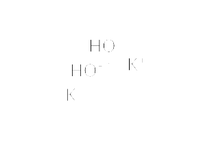 [K+].[K+].[OH-].[OH-]